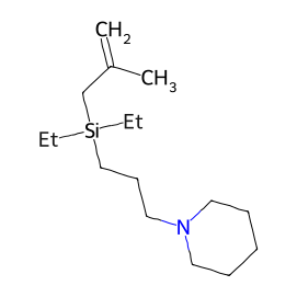 C=C(C)C[Si](CC)(CC)CCCN1CCCCC1